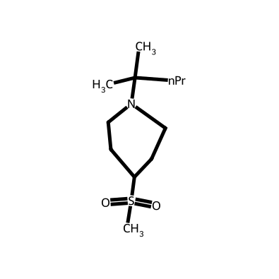 CCCC(C)(C)N1CCC(S(C)(=O)=O)CC1